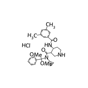 COC(OC)(c1ccccc1)N(C(=O)C1CNCCC1NC(=O)c1cc(C)cc(C)c1)C1CC1.Cl